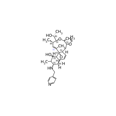 C=C1O[C@H]([C@@H](C)O)[C@H](C)/C=C(\C)[C@]23O[C@@H]4[C@H](C=C[C@@H]2C[C@@H]1OC)[C@H]3[C@H](O)C(C)[C@@H]4NCc1ccncc1